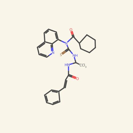 O=C(/C=C/c1ccccc1)NC(NC(=S)N(C(=O)C1CCCCC1)c1cccc2cccnc12)C(Cl)(Cl)Cl